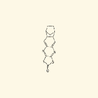 O=c1sc2nc3c(nc2s1)=CC1C2CCC(C2)C1C=3